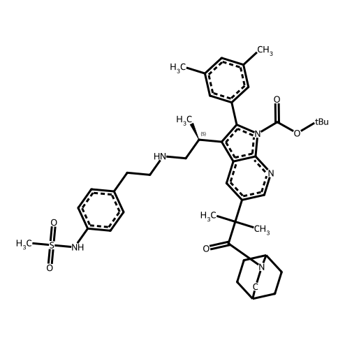 Cc1cc(C)cc(-c2c([C@H](C)CNCCc3ccc(NS(C)(=O)=O)cc3)c3cc(C(C)(C)C(=O)N4CC5CCC4CC5)cnc3n2C(=O)OC(C)(C)C)c1